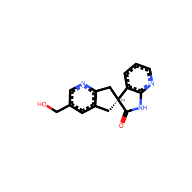 O=C1Nc2ncccc2[C@@]12Cc1cc(CO)cnc1C2